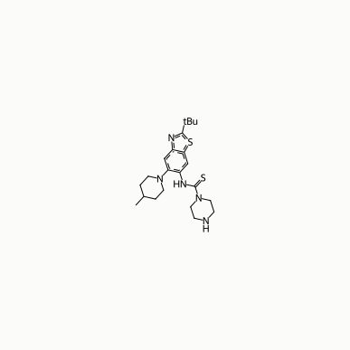 CC1CCN(c2cc3nc(C(C)(C)C)sc3cc2NC(=S)N2CCNCC2)CC1